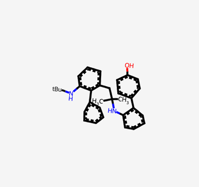 CC(C)(C)Nc1cccc(CC(C)(C)Nc2ccccc2-c2ccc(O)cc2)c1-c1ccccc1